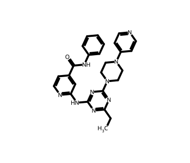 CCc1nc(Nc2cc(C(=O)Nc3ccccc3)ccn2)nc(N2CCN(c3ccncc3)CC2)n1